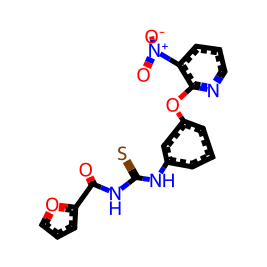 O=C(NC(=S)Nc1cccc(Oc2ncccc2[N+](=O)[O-])c1)c1ccco1